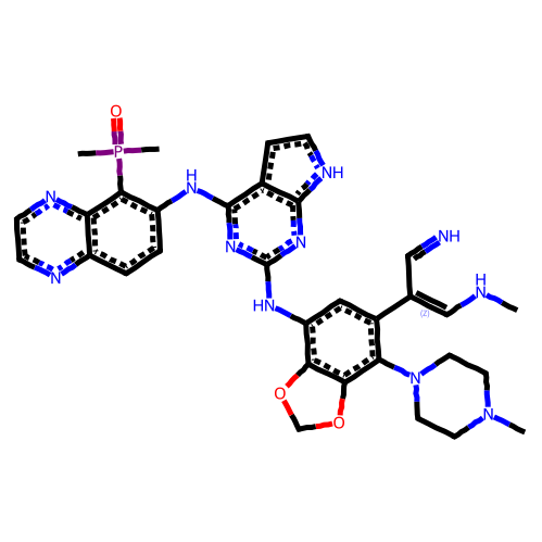 CN/C=C(\C=N)c1cc(Nc2nc(Nc3ccc4nccnc4c3P(C)(C)=O)c3cc[nH]c3n2)c2c(c1N1CCN(C)CC1)OCO2